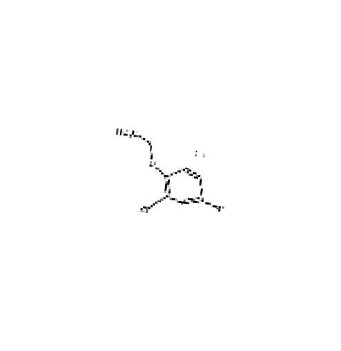 O=C(O)COc1ccc(Cl)cc1Cl.[Ca]